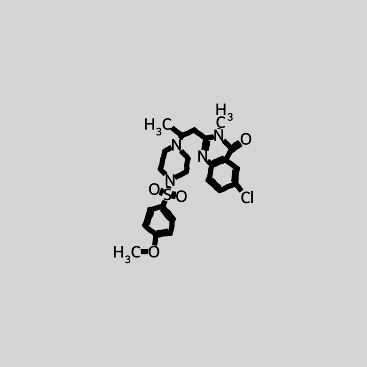 COc1ccc(S(=O)(=O)N2CCN(C(C)Cc3nc4ccc(Cl)cc4c(=O)n3C)CC2)cc1